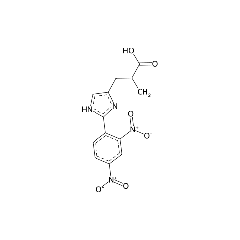 CC(Cc1c[nH]c(-c2ccc([N+](=O)[O-])cc2[N+](=O)[O-])n1)C(=O)O